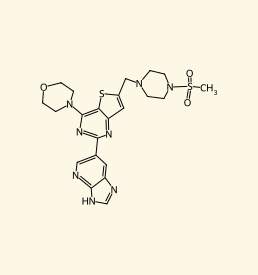 CS(=O)(=O)N1CCN(Cc2cc3nc(-c4cnc5[nH]cnc5c4)nc(N4CCOCC4)c3s2)CC1